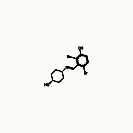 Oc1ccc(Br)c(C=N[C@H]2CC[C@H](O)CC2)c1Br